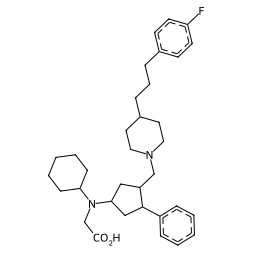 O=C(O)CN(C1CCCCC1)C1CC(CN2CCC(CCCc3ccc(F)cc3)CC2)C(c2ccccc2)C1